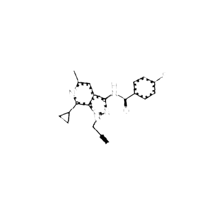 C#CCn1nc(NC(=O)c2ccc(F)cc2)c2cc(C)nc(C3CC3)c21